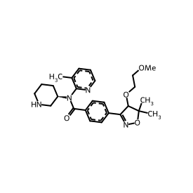 COCCOC1C(c2ccc(C(=O)N(c3ncccc3C)[C@@H]3CCCNC3)cc2)=NOC1(C)C